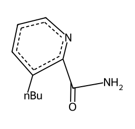 CCCCc1cccnc1C(N)=O